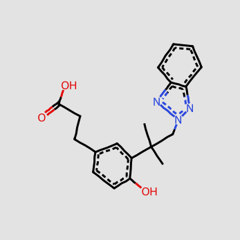 CC(C)(Cn1nc2ccccc2n1)c1cc(CCC(=O)O)ccc1O